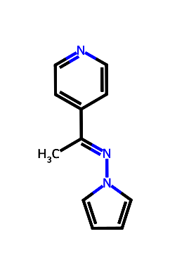 CC(=Nn1cccc1)c1ccncc1